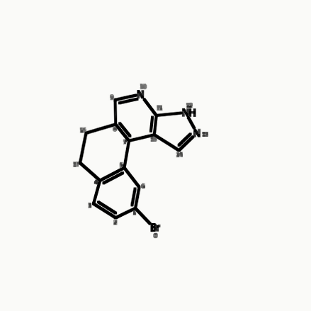 Brc1ccc2c(c1)-c1c(cnc3[nH]ncc13)CC2